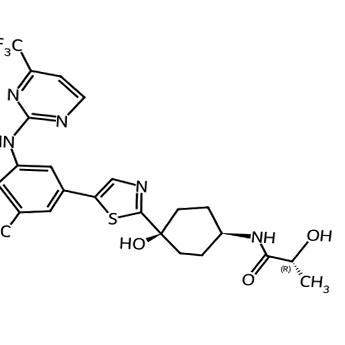 Cc1cc(Nc2nccc(C(F)(F)F)n2)cc(-c2cnc([C@]3(O)CC[C@@H](NC(=O)[C@@H](C)O)CC3)s2)c1